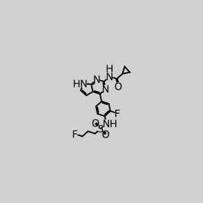 O=C(Nc1nc(-c2ccc(NS(=O)(=O)CCCF)c(F)c2)c2cc[nH]c2n1)C1CC1